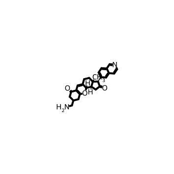 C[C@]12CCC3=CC4=C(CC(CN)CC4=O)O[C@H]3[C@@H]1CC(=O)[C@@H]2c1ccc2cnccc2c1